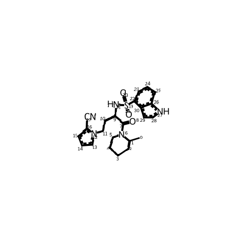 CC1CCCCN1C(=O)C(CCn1cccc1C#N)NS(=O)(=O)c1cccc2[nH]ccc12